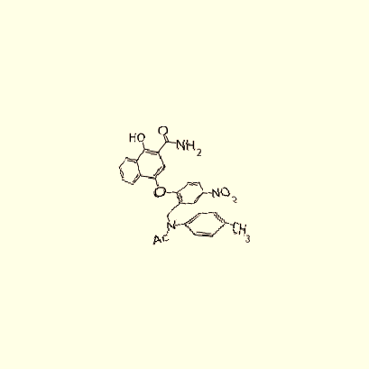 CC(=O)N(Cc1cc([N+](=O)[O-])ccc1Oc1cc(C(N)=O)c(O)c2ccccc12)c1ccc(C)cc1